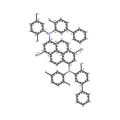 Cc1ccc(C)c(N(c2cc(-c3ccccc3)ccc2C)c2cc(C(C)C)c3ccc4c(N(c5cc(C)ccc5C)c5cc(-c6ccccc6)ccc5C)cc(C(C)C)c5ccc2c3c54)c1